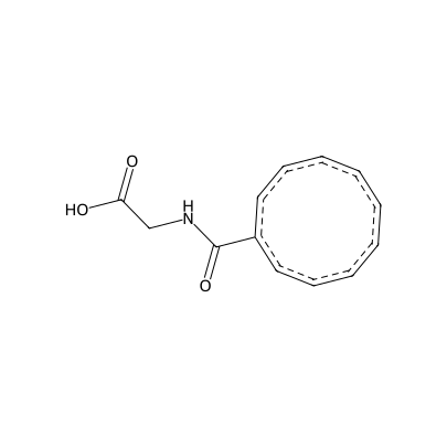 O=C(O)CNC(=O)c1ccccccccc1